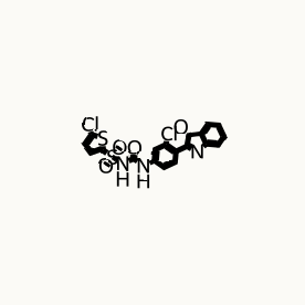 O=C(Nc1ccc(C2=Nc3ccccc3C2=O)c(Cl)c1)NS(=O)(=O)c1ccc(Cl)s1